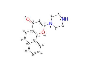 O=c1cc(N2CCNCC2)oc2c1ccc1ccccc12